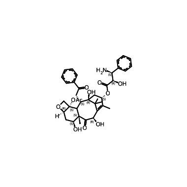 CC(=O)O[C@@]12CO[C@@H]1C[C@H](O)[C@@]1(C)C(=O)[C@H](O)C3=C(C)[C@@H](OC(=O)[C@H](O)[C@@H](N)c4ccccc4)C[C@@](O)([C@@H](CC(=O)c4ccccc4)C12)C3(C)C